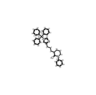 O=C1C(CCCc2cn(C(c3ccccc3)(c3ccccc3)c3ccccc3)cn2)CCCN1c1ccccc1